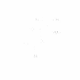 COC(C)(C)C(=O)OC(N)=O